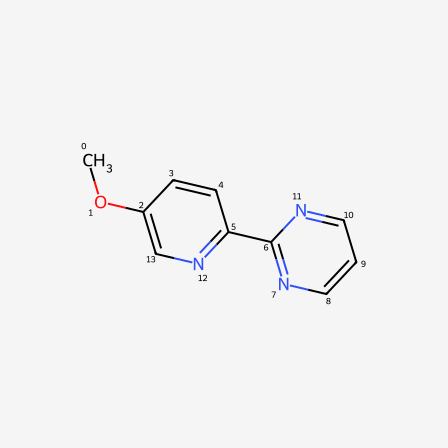 COc1ccc(-c2ncccn2)nc1